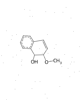 COC1C=Cc2ccccc2C1O